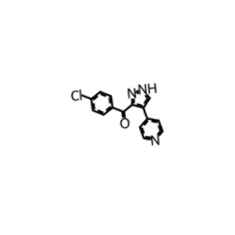 O=C(c1ccc(Cl)cc1)c1n[nH]cc1-c1ccncc1